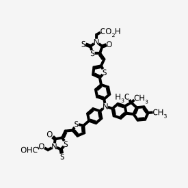 Cc1ccc2c(c1)C(C)(C)c1cc(N(c3ccc(-c4ccc(/C=C5\SC(=S)N(COC=O)C5=O)s4)cc3)c3ccc(-c4ccc(/C=C5\SC(=S)N(CC(=O)O)C5=O)s4)cc3)ccc1-2